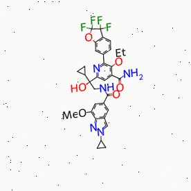 CCOc1c(C(N)=O)cc([C@](O)(CNC(=O)c2cc(OC)c3nn(C4CC4)cc3c2)C2CC2)nc1-c1ccc2c(c1)OC(F)(F)C2(F)F